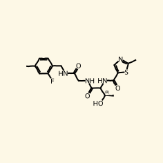 Cc1ccc(CNC(=O)CNC(=O)C(NC(=O)c2cnc(C)s2)[C@@H](C)O)c(F)c1